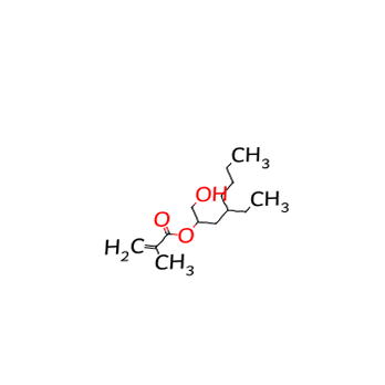 C=C(C)C(=O)OC(CO)CC(CC)CCCC